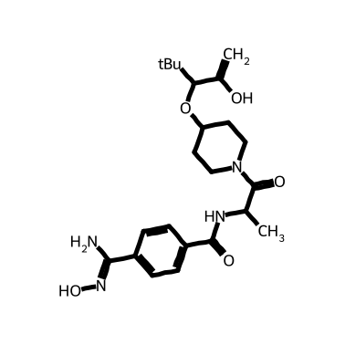 C=C(O)C(OC1CCN(C(=O)C(C)NC(=O)c2ccc(/C(N)=N/O)cc2)CC1)C(C)(C)C